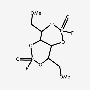 COCC1OP(=O)(F)OC2C(COC)OP(=O)(F)OC12